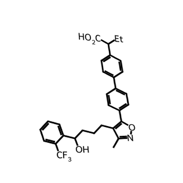 CCC(C(=O)O)c1ccc(-c2ccc(-c3onc(C)c3CCCC(O)c3ccccc3C(F)(F)F)cc2)cc1